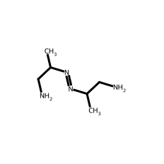 CC(CN)N=NC(C)CN